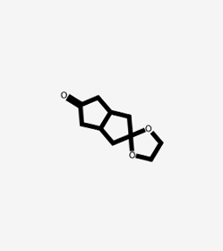 O=C1CC2CC3(CC2C1)OCCO3